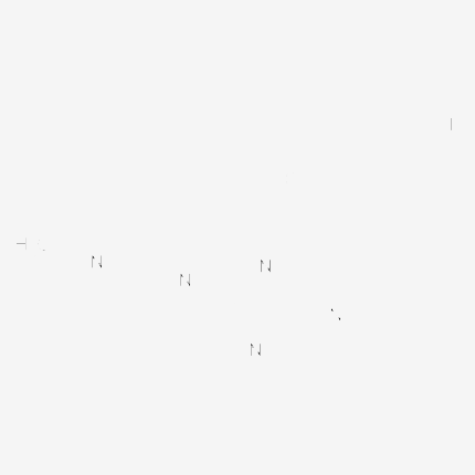 CN1CCN(c2ncnc(-c3ccc(F)cc3Cl)n2)CC1